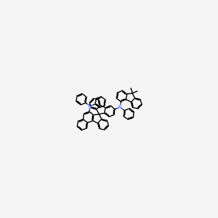 CC1(C)c2ccccc2-c2c(N(c3ccccc3)c3ccc4c(c3)-c3ccccc3C43c4ccccc4-c4c3c(N(c3ccccc3)c3ccccc3)cc3ccccc43)cccc21